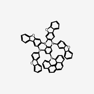 c1ccc2c(N(c3cc4c5c(c3)N(c3ccc6oc7ccccc7c6c3)c3cc6c(cc3B5c3cc5oc7ccccc7c5cc3N4c3ccc4oc5ccccc5c4c3)oc3ccccc36)c3cccc4ccccc34)cccc2c1